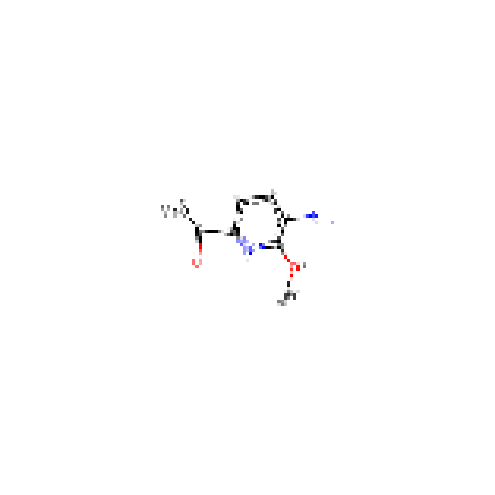 COC(=O)c1ccc(N)c(OC(C)C)n1